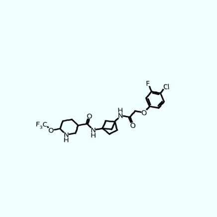 O=C(COc1ccc(Cl)c(F)c1)NC12CCC(NC(=O)C3CCC(OC(F)(F)F)NC3)(C1)C2